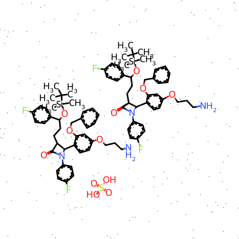 CC(C)(C)[Si](C)(C)OC(CCC1C(=O)N(c2ccc(F)cc2)C1c1ccc(OCCCN)cc1OCc1ccccc1)c1ccc(F)cc1.CC(C)(C)[Si](C)(C)OC(CCC1C(=O)N(c2ccc(F)cc2)C1c1ccc(OCCCN)cc1OCc1ccccc1)c1ccc(F)cc1.O=S(=O)(O)O